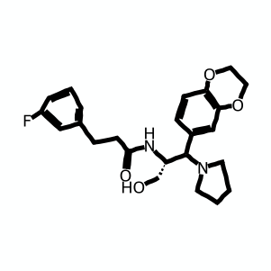 O=C(CCc1cccc(F)c1)N[C@@H](CO)C(c1ccc2c(c1)OCCO2)N1CCCC1